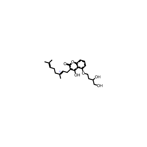 CC(C)=CCC/C(C)=C/Cc1c(O)c2c(OCCC(O)CO)cccc2oc1=O